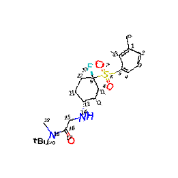 Cc1cccc(S(=O)(=O)[C@]2(F)CC[C@H](NCC(=O)N(C)C(C)(C)C)CC2)c1